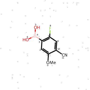 COc1cc(B(O)O)c(F)cc1C#N